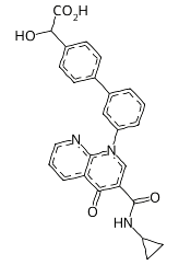 O=C(NC1CC1)c1cn(-c2cccc(-c3ccc(C(O)C(=O)O)cc3)c2)c2ncccc2c1=O